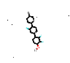 CCOC1CCC(C2CCC(C3CCC(CC)CC3)C(F)C2)C(F)C1F